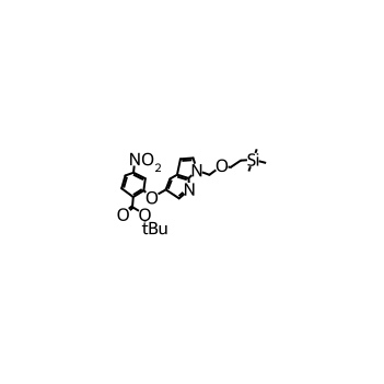 CC(C)(C)OC(=O)c1ccc([N+](=O)[O-])cc1Oc1cnc2c(ccn2COCC[Si](C)(C)C)c1